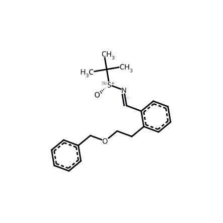 CC(C)(C)[S@@+]([O-])/N=C/c1ccccc1CCOCc1ccccc1